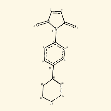 O=C1C=CC(=O)N1c1ccc(C2CCCCC2)cc1